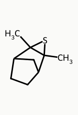 CC12SC1(C)C1CCC2C1